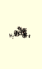 NS(=O)(=O)Oc1ccc(CC(c2csc(-c3cccs3)n2)N(CC(F)(F)F)S(=O)(=O)O)cc1